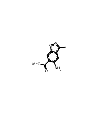 COC(=O)c1cc2onc(C)c2cc1N